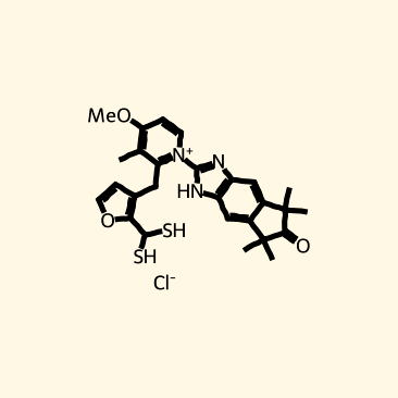 COc1cc[n+](-c2nc3cc4c(cc3[nH]2)C(C)(C)C(=O)C4(C)C)c(Cc2ccoc2C(S)S)c1C.[Cl-]